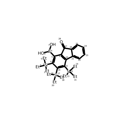 CC[Si](CC)(CC)c1c(B(O)O)c2c(c([Si](CC)(CC)CC)c1[Si](CC)(CC)CC)-c1ccccc1C2=O